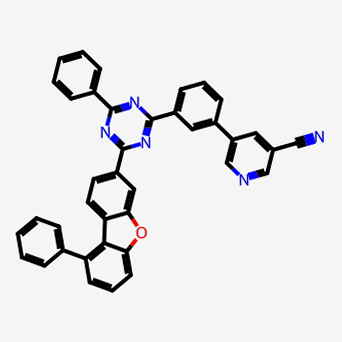 N#Cc1cncc(-c2cccc(-c3nc(-c4ccccc4)nc(-c4ccc5c(c4)oc4cccc(-c6ccccc6)c45)n3)c2)c1